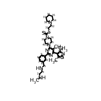 CNCCNCc1cccc(-c2nc(-c3c(C)noc3C)c(C)c(N3CCN(C(=S)SCCN4CCCCC4)CC3)n2)c1